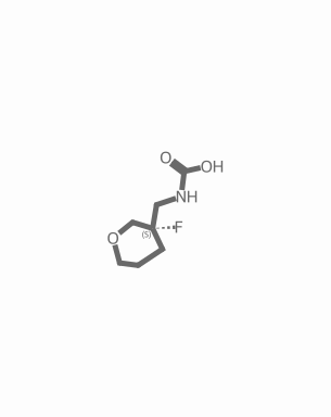 O=C(O)NC[C@@]1(F)CCCOC1